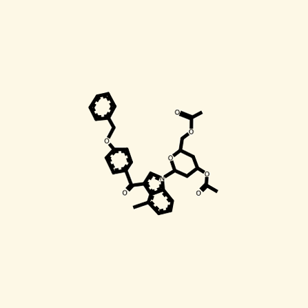 CC(=O)OCC1CC(OC(C)=O)CC(n2cc(C(=O)c3ccc(OCc4ccccc4)cc3)c3c(C)cccc32)O1